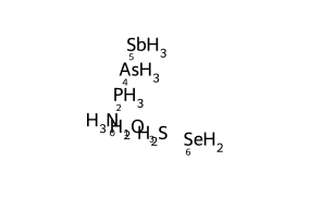 N.O.P.S.[AsH3].[SbH3].[SeH2]